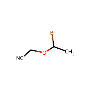 CC(Br)OCC#N